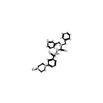 CCN1CCN(c2cccc(C(=O)NOC(=O)N(Cc3ccccc3)Cc3cccnc3)c2)CC1